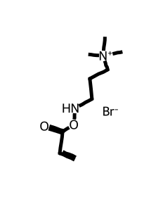 C=CC(=O)ONCCC[N+](C)(C)C.[Br-]